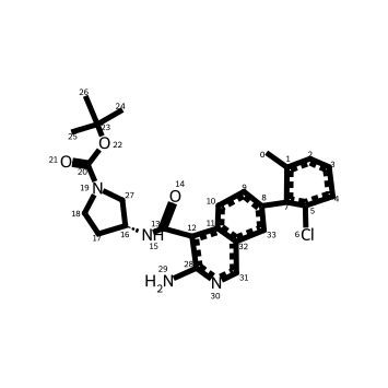 Cc1cccc(Cl)c1-c1ccc2c(C(=O)N[C@@H]3CCN(C(=O)OC(C)(C)C)C3)c(N)ncc2c1